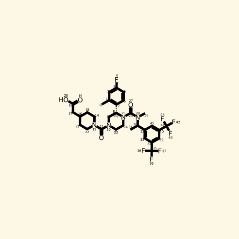 Cc1cc(F)ccc1[C@H]1CN(C(=O)N2CCC(CC(=O)O)CC2)CCN1C(=O)N(C)C(C)c1cc(C(F)(F)F)cc(C(F)(F)F)c1